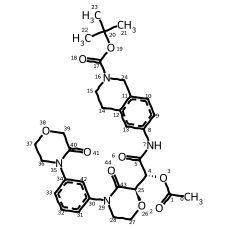 CC(=O)O[C@@H](C(=O)Nc1ccc2c(c1)CCN(C(=O)OC(C)(C)C)C2)[C@H]1OCCN(c2cccc(N3CCOCC3=O)c2)C1=O